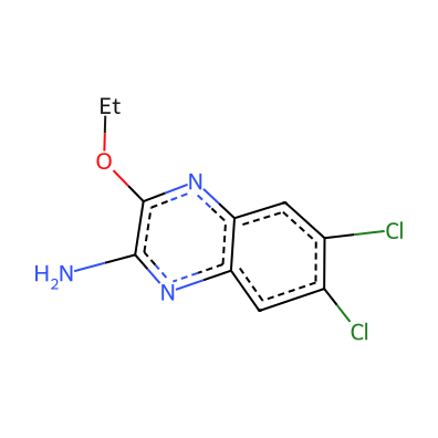 CCOc1nc2cc(Cl)c(Cl)cc2nc1N